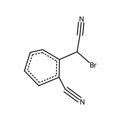 N#Cc1ccccc1C(Br)C#N